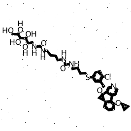 O=C(NCCCCNC(=O)NCC(O)C(O)C(O)C(O)CO)NCCCCSc1ccc(Cl)c(COC2(c3cnccc3-c3ccccc3OC3CC3)CC2)c1